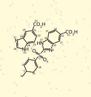 CC1C=CC(S(=O)(=O)c2nc3cc(C(=O)O)ccc3[nH]2)=CC1.O=C(O)c1ccc2[nH]cnc2c1